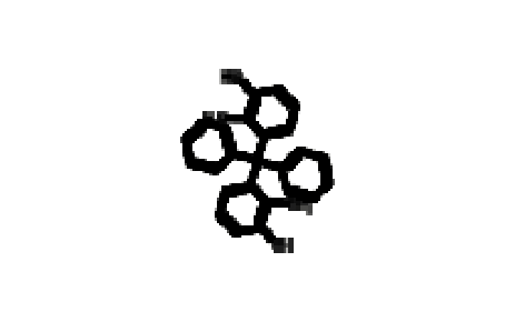 Cc1c(O)cccc1C(c1ccccc1)(c1ccccc1)c1cccc(O)c1C